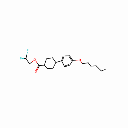 CCCCCCOc1ccc(C2CCC(C(=O)OCC(F)F)CC2)cc1